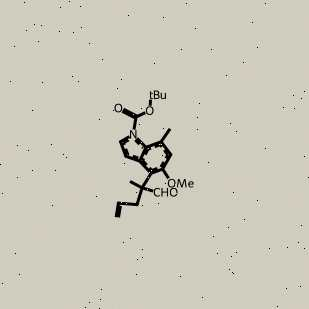 C=CCC(C)(C=O)c1c(OC)cc(C)c2c1ccn2C(=O)OC(C)(C)C